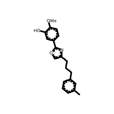 COc1ccc(-c2nc(CCCc3cccc(C)c3)co2)cc1O